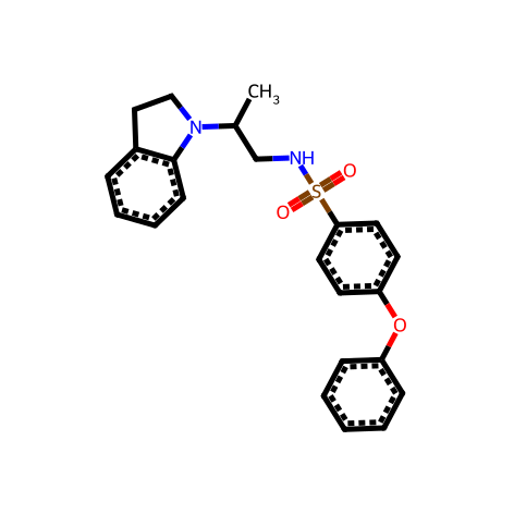 CC(CNS(=O)(=O)c1ccc(Oc2ccccc2)cc1)N1CCc2ccccc21